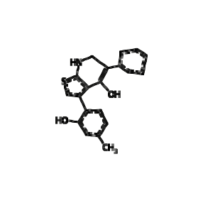 Cc1ccc(-c2csc3c2C(O)=C(c2ccccc2)CN3)c(O)c1